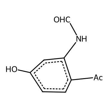 CC(=O)c1ccc(O)cc1NC=O